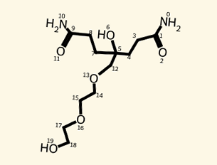 NC(=O)CCC(O)(CCC(N)=O)COCCOCCO